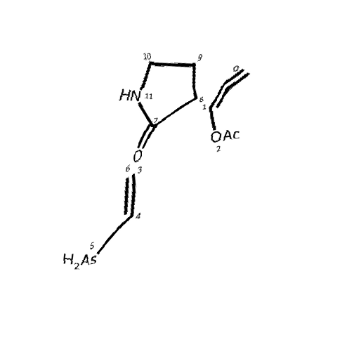 C=COC(C)=O.C=C[AsH2].O=C1CCCN1